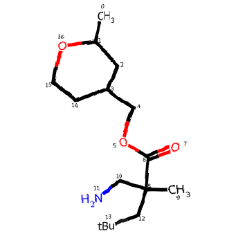 CC1CC(COC(=O)C(C)(CN)CC(C)(C)C)CCO1